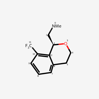 CNC[C@H]1OCCc2cccc(C(F)(F)F)c21